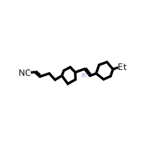 CCC1CCC(/C=C/C2CCC(CCC=CC#N)CC2)CC1